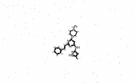 Cc1cc(Nc2cc(N3CCN(C(C)C)CC3)nc(/C=C/c3ccccc3)n2)n[nH]1